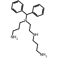 NCCCNCCN(CCCN)C(c1ccccc1)c1ccccc1